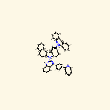 c1ccc(-c2ccc(-c3nc(-n4c5ccc(-n6c7ccccc7c7ccccc76)cc5c5c6ccccc6ccc54)nc4ccccc34)cc2)nc1